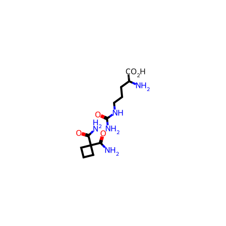 NC(=O)C1(C(N)=O)CCC1.NC(=O)NCCCC(N)C(=O)O